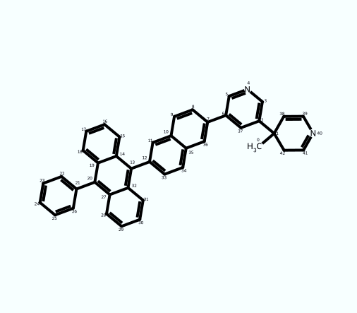 CC1(c2cncc(-c3ccc4cc(-c5c6ccccc6c(-c6ccccc6)c6ccccc56)ccc4c3)c2)C=CN=CC1